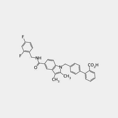 Cc1c(C)n(Cc2ccc(-c3ccccc3C(=O)O)cc2)c2ccc(C(=O)NCc3ccc(F)cc3F)cc12